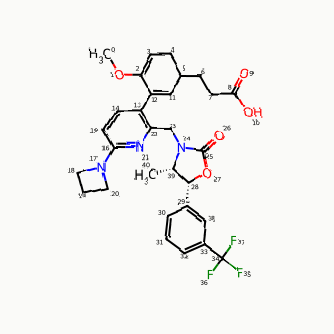 COC1=CCC(CCC(=O)O)C=C1c1ccc(N2CCC2)nc1CN1C(=O)O[C@H](c2cccc(C(F)(F)F)c2)[C@@H]1C